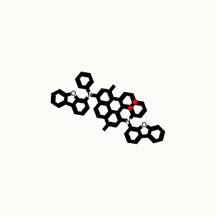 Cc1cc(N(c2ccccc2)c2cccc3c2oc2ccccc23)c2c3ccccc3c3c(C)cc(N(c4ccccc4)c4cccc5c4oc4ccccc45)c4ccc1c2c43